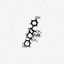 CC1=C(c2ccc(O)cc2)N=C2C=NC(C)(C3CCNCC3)N=C21.Cl.O